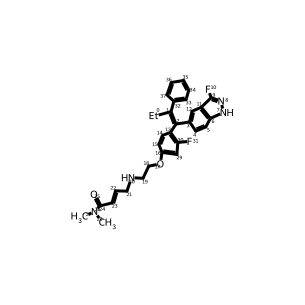 CCC(=C(c1ccc2[nH]nc(F)c2c1)c1ccc(OCCNCC=CC(=O)N(C)C)cc1F)c1ccccc1